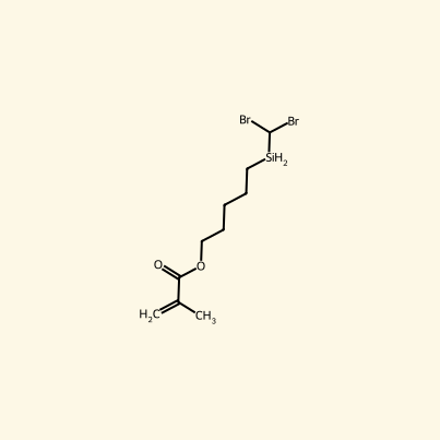 C=C(C)C(=O)OCCCCC[SiH2]C(Br)Br